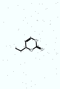 CCC1C=COC(=O)O1